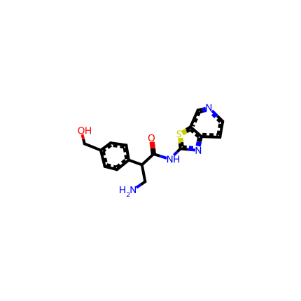 NCC(C(=O)Nc1nc2ccncc2s1)c1ccc(CO)cc1